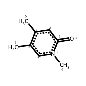 Cc1cc(=O)n(C)cc1C